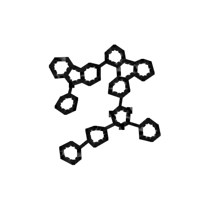 c1ccc(-c2ccc(-c3nc(-c4ccccc4)nc(-c4ccc5c(c4)c4ccccc4c4cccc(-c6ccc7c(c6)c6ccccc6n7-c6ccccc6)c45)n3)cc2)cc1